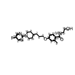 Cc1cc(OCCCC2CCN(c3ncc(F)cn3)CC2)ccc1C(=O)NCCO